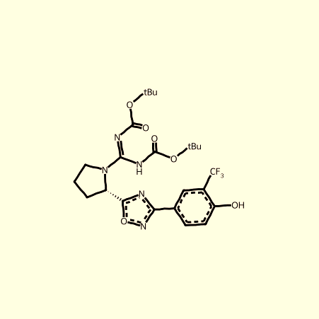 CC(C)(C)OC(=O)/N=C(\NC(=O)OC(C)(C)C)N1CCC[C@H]1c1nc(-c2ccc(O)c(C(F)(F)F)c2)no1